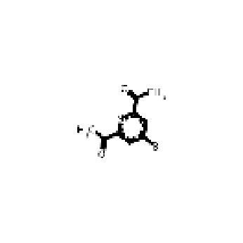 CC(=O)c1cc(Br)cc(C(C)=O)n1